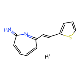 N=c1ccccc(C=Cc2cccs2)n1.[H+]